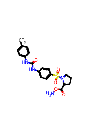 NOC(=O)C1CCCN1S(=O)(=O)c1ccc(NC(=O)Nc2ccc(C(F)(F)F)cc2)cc1